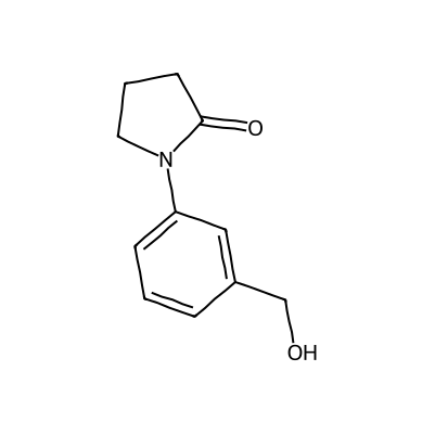 O=C1CCCN1c1cccc(CO)c1